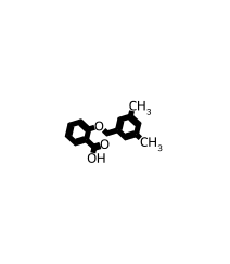 Cc1cc(C)cc(COc2ccccc2C(=O)O)c1